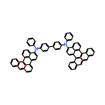 c1ccc(N(c2ccc(-c3ccc(N(c4ccccc4)c4ccc(-c5cccc6ccccc56)c5c(-c6cccc7ccccc67)cccc45)cc3)cc2)c2ccc(-c3cccc4ccccc34)c3c(-c4cccc5ccccc45)cccc23)cc1